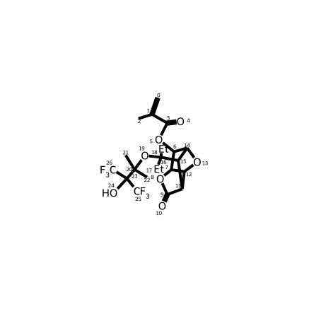 C=C(C)C(=O)OC1C2OC(=O)C3C2OC1C3C(CC)(CC)OC(C)(C)C(O)(C(F)(F)F)C(F)(F)F